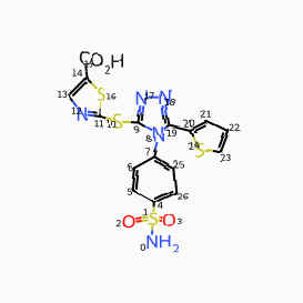 NS(=O)(=O)c1ccc(-n2c(Sc3ncc(C(=O)O)s3)nnc2-c2cccs2)cc1